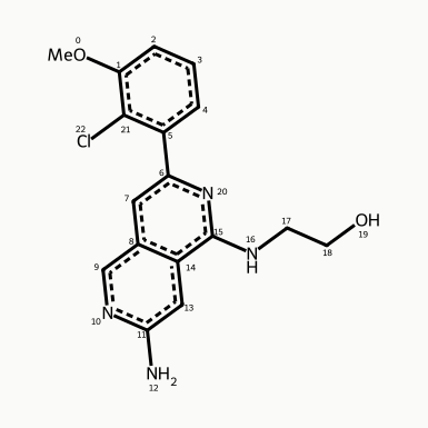 COc1cccc(-c2cc3cnc(N)cc3c(NCCO)n2)c1Cl